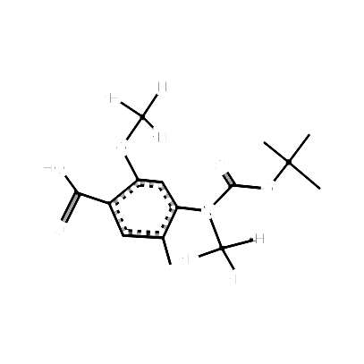 [2H]C([2H])([2H])Oc1cc(N(C(=O)OC(C)(C)C)C([2H])([2H])[2H])c(Cl)cc1C(=O)O